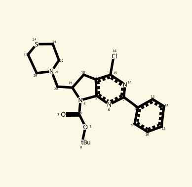 CC(C)(C)OC(=O)N1c2nc(-c3ccccc3)nc(Cl)c2CC1CN1CCSCC1